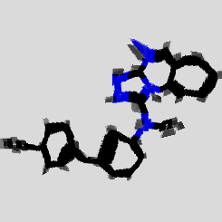 Cc1ccc(-c2cccc(N(C)c3nnc4ncc5ccccc5n34)c2)cc1